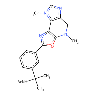 CC(=O)NC(C)(C)c1cccc(-c2nc3c(o2)N(C)Cc2ncn(C)c2-3)c1